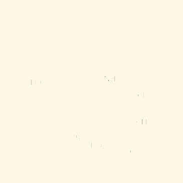 CCC(C)C1=CC(c2ccccc2C)NC(C)=C1[Si](C)(C)C